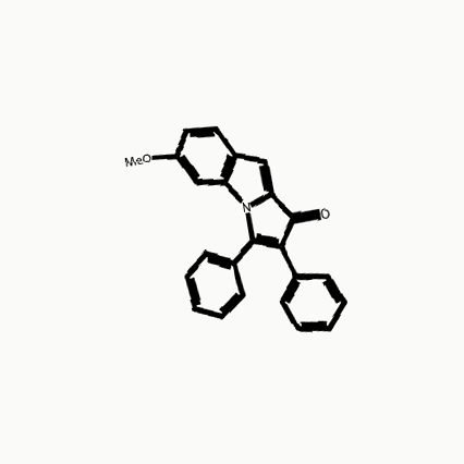 COc1ccc2cc3n(c2c1)C(c1ccccc1)=C(c1ccccc1)C3=O